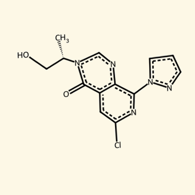 C[C@@H](CO)n1cnc2c(-n3cccn3)nc(Cl)cc2c1=O